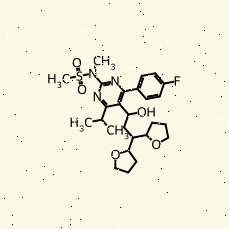 CC(C)c1nc(N(C)S(C)(=O)=O)nc(-c2ccc(F)cc2)c1C(O)CC(C1CCCO1)C1CCCO1